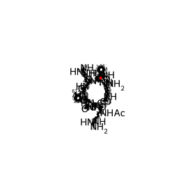 CC(=O)N[C@@H](CCCNC(=N)N)C(=O)N[C@H]1CCC(=O)NCCC[C@@H](C(N)=O)NC(=O)C(Cc2c[nH]c3ccccc23)NC(=O)[C@H](CCCNC(=N)N)NC(=O)[C@@H](Cc2ccccc2C)NC(=O)[C@H](CC(N)=O)NC1=O